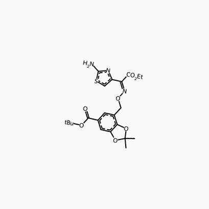 CCOC(=O)C(=NOCc1cc(C(=O)OC(C)(C)C)cc2c1OC(C)(C)O2)c1csc(N)n1